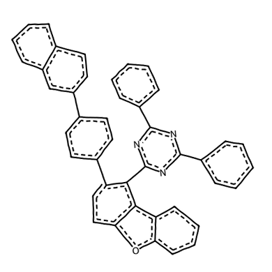 c1ccc(-c2nc(-c3ccccc3)nc(-c3c(-c4ccc(-c5ccc6ccccc6c5)cc4)ccc4oc5ccccc5c34)n2)cc1